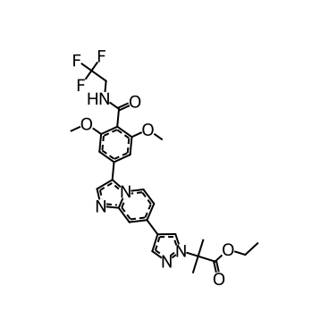 CCOC(=O)C(C)(C)n1cc(-c2ccn3c(-c4cc(OC)c(C(=O)NCC(F)(F)F)c(OC)c4)cnc3c2)cn1